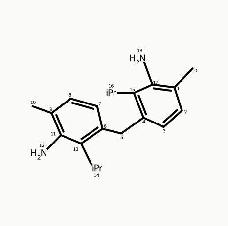 Cc1ccc(Cc2ccc(C)c(N)c2C(C)C)c(C(C)C)c1N